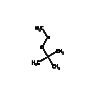 C[C]OC(C)(C)C